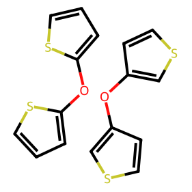 c1cc(Oc2ccsc2)cs1.c1csc(Oc2cccs2)c1